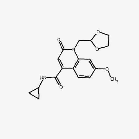 COc1ccc2c(C(=O)NC3CC3)cc(=O)n(CC3OCCO3)c2c1